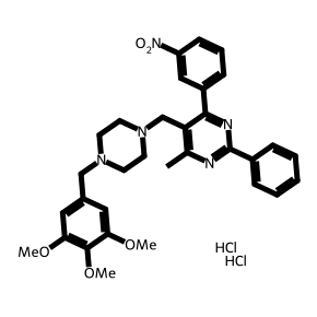 COc1cc(CN2CCN(Cc3c(C)nc(-c4ccccc4)nc3-c3cccc([N+](=O)[O-])c3)CC2)cc(OC)c1OC.Cl.Cl